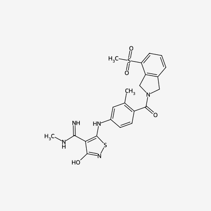 CNC(=N)c1c(O)nsc1Nc1ccc(C(=O)N2Cc3cccc(S(C)(=O)=O)c3C2)c(C)c1